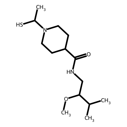 COC(CNC(=O)C1CCN(C(C)S)CC1)C(C)C